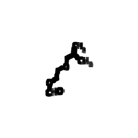 C=C(C)COCCO[C]=O